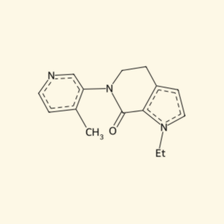 CCn1ccc2c1C(=O)N(c1cnccc1C)CC2